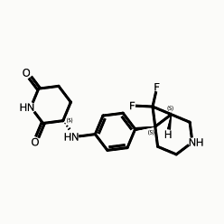 O=C1CC[C@H](Nc2ccc([C@]34CCNC[C@H]3C4(F)F)cc2)C(=O)N1